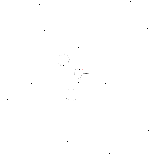 Cc1oc(-c2ccccc2)cc1C(O)C1CCCCC1